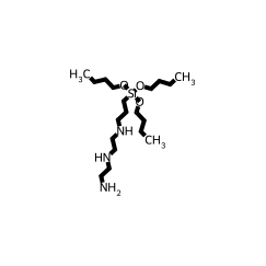 CCCCO[Si](CCCNCCNCCN)(OCCCC)OCCCC